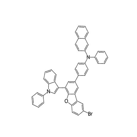 Brc1ccc2oc3c(-c4cn(-c5ccccc5)c5ccccc45)cc(-c4ccc(N(c5ccccc5)c5ccc6ccccc6c5)cc4)cc3c2c1